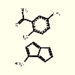 Cc1ccc(C)c(C(N)=O)c1.O=C(O)C1=CC=C2C=CC=C21